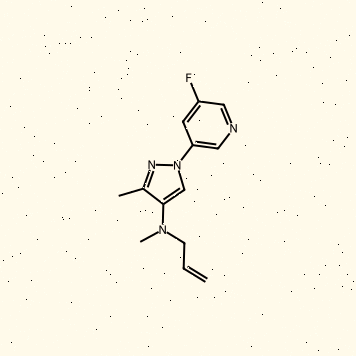 C=CCN(C)c1cn(-c2cncc(F)c2)nc1C